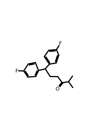 CC(C)C(=O)CCC(c1ccc(F)cc1)c1ccc(F)cc1